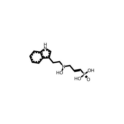 O=P(O)(O)C=CCN(O)CCc1c[nH]c2ccccc12